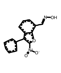 O=[N+]([O-])c1oc2c(C=NO)cccc2c1-c1ccccc1